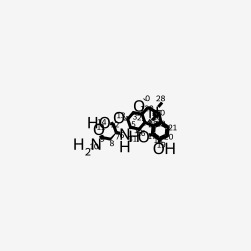 CO[C@@]12CC[C@H](N[C@@H](CC(N)=O)C(=O)O)[C@@H]3Oc4c(O)ccc5c4[C@@]31CCN(C)C2C5